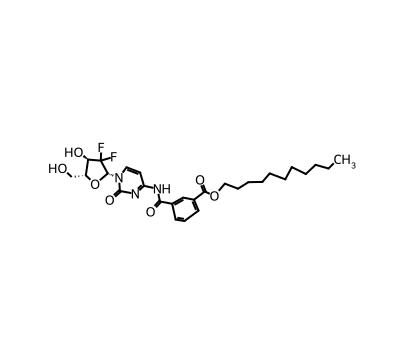 CCCCCCCCCCCOC(=O)c1cccc(C(=O)Nc2ccn([C@@H]3O[C@H](CO)[C@@H](O)C3(F)F)c(=O)n2)c1